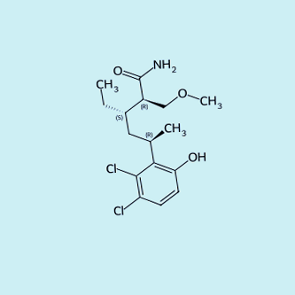 CC[C@@H](C[C@@H](C)c1c(O)ccc(Cl)c1Cl)[C@H](COC)C(N)=O